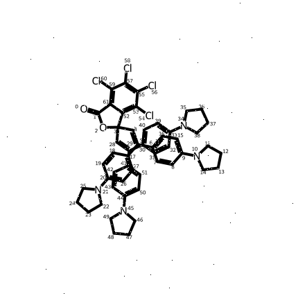 O=C1OC(C=C(c2ccc(N3CCCC3)cc2)c2ccc(N3CCCC3)cc2)(C=C(c2ccc(N3CCCC3)cc2)c2ccc(N3CCCC3)cc2)c2c(Cl)c(Cl)c(Cl)c(Cl)c21